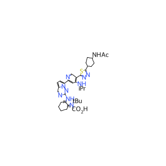 CC(=O)NC1CCC(c2nnc(-c3cnc(-c4ccc5cnc(N[C@@H]6CCCC[C@@H]6N(C(=O)O)C(C)(C)C)nn45)cc3NC(C)C)s2)CC1